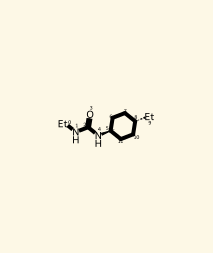 CCNC(=O)N[C@H]1CC[C@H](CC)CC1